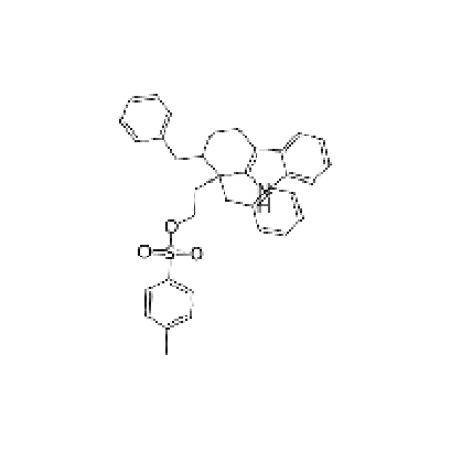 Cc1ccc(S(=O)(=O)OCCC2(Cc3ccccc3)c3[nH]c4ccccc4c3CCC2Cc2ccccc2)cc1